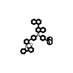 c1cc(-c2ccc(N(c3ccc(C45CC6CC(CC(C6)C4)C5)cc3)c3ccc(-c4cccc5ccccc45)c4ccccc34)cc2)c2c(c1)-n1c3ccccc3c3cccc(c31)O2